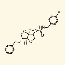 O=C(NCc1ccc(F)cc1)N[C@H]1CO[C@H]2[C@H](CCc3ccccc3)CO[C@@H]21